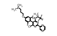 C[C@H](Nc1nc(-c2cnccn2)nc(Cl)c1-c1c(F)cc(OCCCN(C)C)cc1F)C(F)(F)F